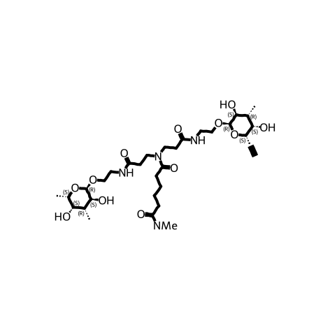 C#C[C@@H]1O[C@@H](OCCNC(=O)CCN(CCC(=O)NCCO[C@@H]2O[C@@H](C)[C@@H](O)[C@@H](C)[C@@H]2O)C(=O)CCCCC(=O)NC)[C@@H](O)[C@H](C)[C@@H]1O